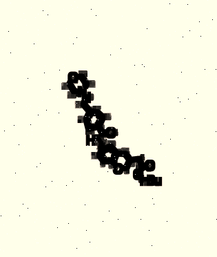 CCCCOC(=O)CC1COc2ccc(NC(=O)c3ccc(C=NN4CCOCC4)cc3)cc2C1